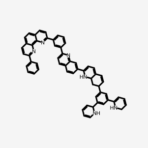 C1=CCNC(c2cc(C3C=CC4=CC=C(c5ccc6ccc(-c7cccc(-c8ccc9ccc%10ccc(-c%11ccccc%11)nc%10c9n8)c7)nc6c5)NC4C3)cc(C3C=CC=CN3)c2)=C1